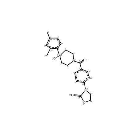 Cc1ccc([N+]2([O-])CCN(C(=O)c3ccc(N4CCOC4=O)nc3)CC2)c(C)c1